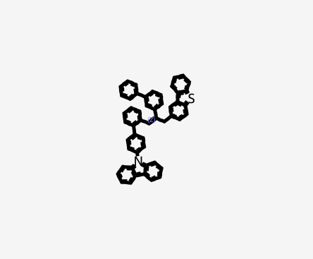 C(=C(\Cc1ccc2sc3ccccc3c2c1)c1cccc(-c2ccccc2)c1)/c1ccccc1-c1ccc(-n2c3ccccc3c3ccccc32)cc1